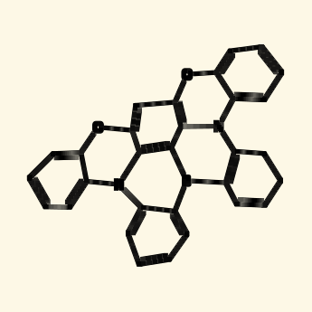 C1=CC2=C(CC1)n1c3ccccc3oc3cc4oc5ccccc5n5c4c(c31)B2c1ccccc1-5